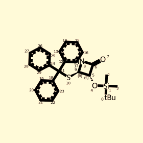 CC(C)(C)[Si](C)(C)O[C@H]1C(=O)N[C@@H]1SC(c1ccccc1)(c1ccccc1)c1ccccc1